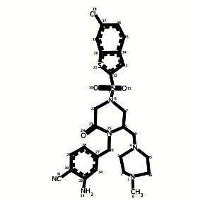 CN1CCN(CC2CN(S(=O)(=O)c3cc4ccc(Cl)cc4s3)CC(=O)N2Cc2ccc(C#N)c(N)c2)CC1